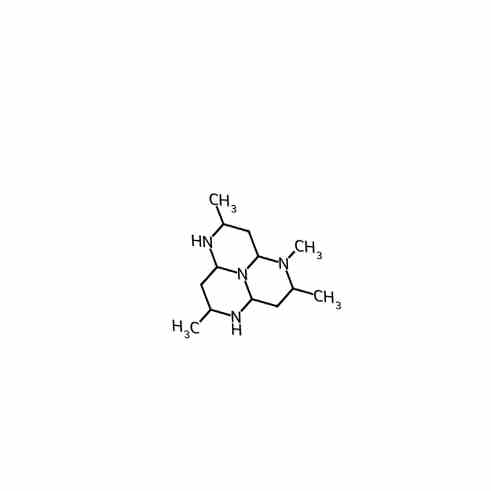 CC1CC2N(C)C(C)CC3NC(C)CC(N1)N32